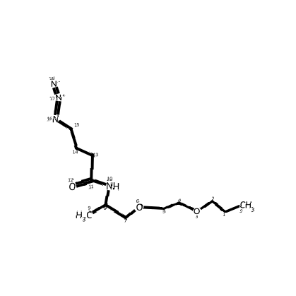 CCCOCCOCC(C)NC(=O)CCCN=[N+]=[N-]